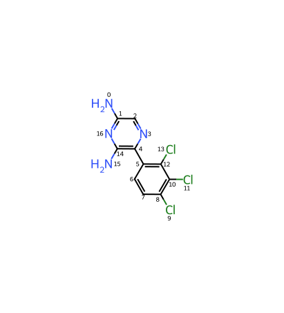 Nc1cnc(-c2ccc(Cl)c(Cl)c2Cl)c(N)n1